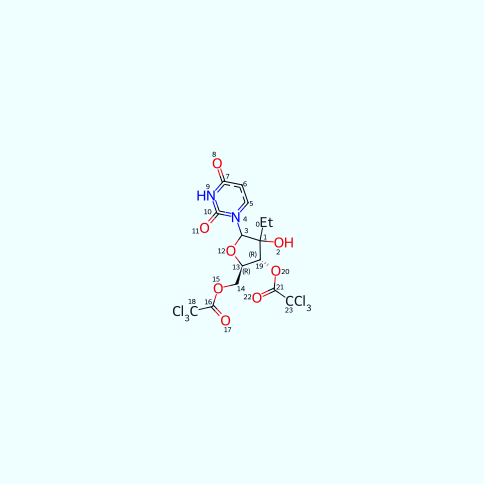 CCC1(O)C(n2ccc(=O)[nH]c2=O)O[C@H](COC(=O)C(Cl)(Cl)Cl)[C@H]1OC(=O)C(Cl)(Cl)Cl